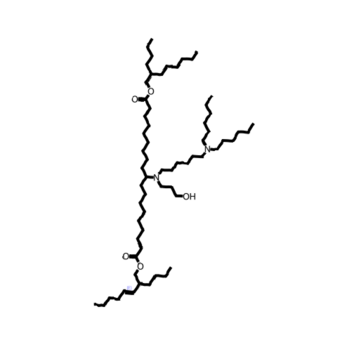 CCCC/C=C/C(CCCC)COC(=O)CCCCCCCCC(CCCCCCCCC(=O)OCC(CCCC)CCCCCC)N(CCCO)CCCCCCN(CCCCCC)CCCCCC